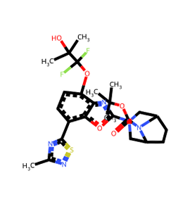 Cc1nsc(-c2ccc(OC(F)(F)C(C)(C)O)c3nc(N4CC5CCC(C4)N5C(=O)OC(C)(C)C)oc23)n1